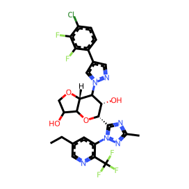 CCc1cnc(C(F)(F)F)c(-n2nc(C)nc2[C@@H]2OC3C(O)CO[C@@H]3C(n3cc(-c4ccc(Cl)c(F)c4F)cn3)[C@@H]2O)c1